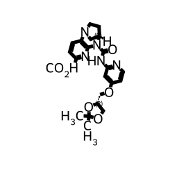 CC1(C)OC[C@@H](COc2ccnc(NC(=O)N3c4nc(C(=O)O)ccc4N4CC[C@H]3C4)c2)O1